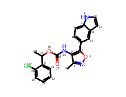 Cc1noc(-c2ccc3[nH]ccc3c2)c1NC(=O)OC(C)c1ccccc1Cl